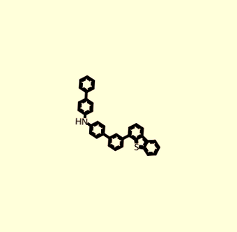 c1ccc(-c2ccc(Nc3ccc(-c4cccc(-c5cccc6c5sc5ccccc56)c4)cc3)cc2)cc1